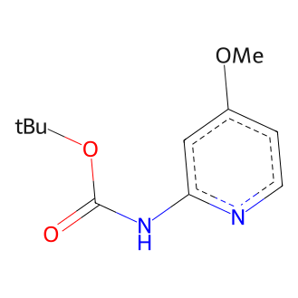 COc1ccnc(NC(=O)OC(C)(C)C)c1